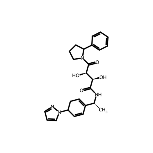 C[C@@H](NC(=O)[C@H](O)[C@@H](O)C(=O)N1CCCC1c1ccccc1)C1=CCC(n2cccn2)C=C1